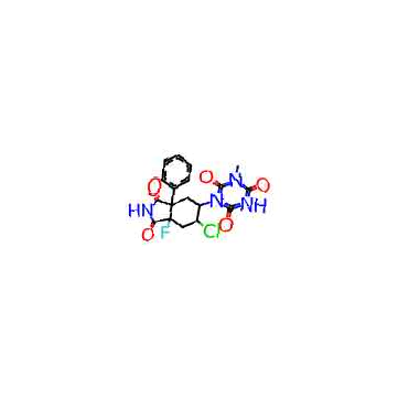 Cn1c(=O)[nH]c(=O)n(C2CC3(c4ccccc4)C(=O)NC(=O)C3(F)CC2Cl)c1=O